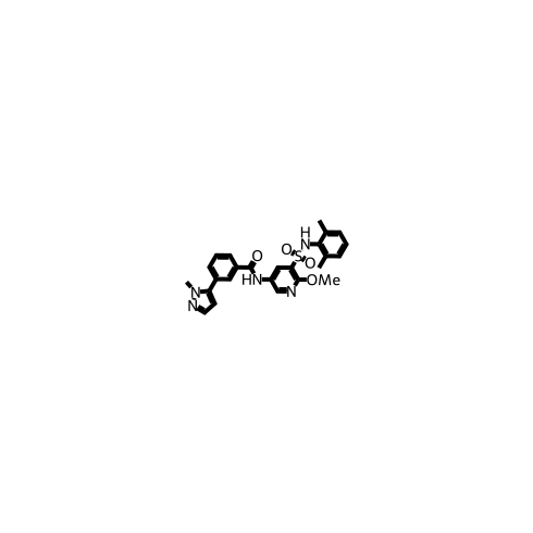 COc1ncc(NC(=O)c2cccc(-c3ccnn3C)c2)cc1S(=O)(=O)Nc1c(C)cccc1C